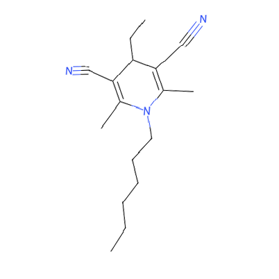 CCCCCCN1C(C)=C(C#N)C(CC)C(C#N)=C1C